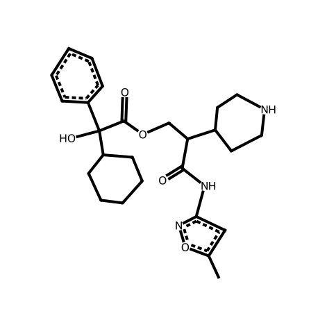 Cc1cc(NC(=O)C(COC(=O)C(O)(c2ccccc2)C2CCCCC2)C2CCNCC2)no1